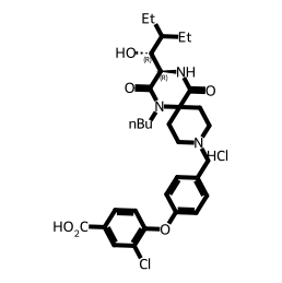 CCCCN1C(=O)[C@@H]([C@H](O)C(CC)CC)NC(=O)C12CCN(Cc1ccc(Oc3ccc(C(=O)O)cc3Cl)cc1)CC2.Cl